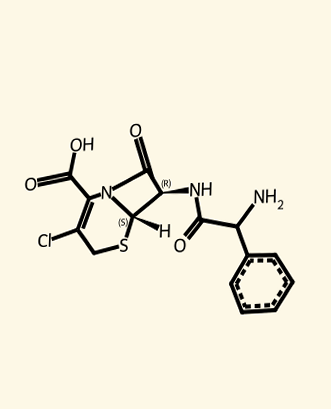 NC(C(=O)N[C@@H]1C(=O)N2C(C(=O)O)=C(Cl)CS[C@@H]12)c1ccccc1